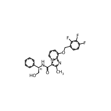 Cc1nc2c(OCc3ccc(F)c(F)c3F)cccn2c1C(=O)N[C@@H](CO)c1ccccc1